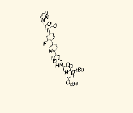 CC(C)(C)OC(=O)CN(CC(=O)NC[C@@H]1CC(c2ccc(-c3ccc(N4C[C@H](Cn5ccnn5)OC4=O)cc3F)cn2)=NO1)C(=O)OC(C)(C)C